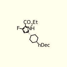 CCCCCCCCCC[C@H]1CC[C@H](c2cc(F)c(C(=O)OCC)[nH]2)CC1